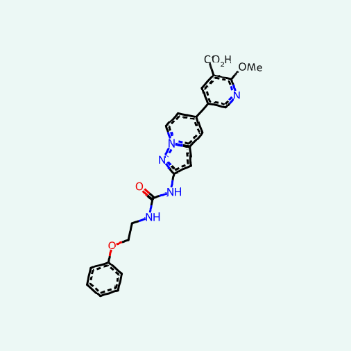 COc1ncc(-c2ccn3nc(NC(=O)NCCOc4ccccc4)cc3c2)cc1C(=O)O